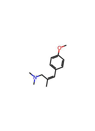 COc1ccc(C=C(C)CN(C)C)cc1